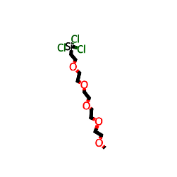 COCCOCCOCCOCCOCC[Si](Cl)(Cl)Cl